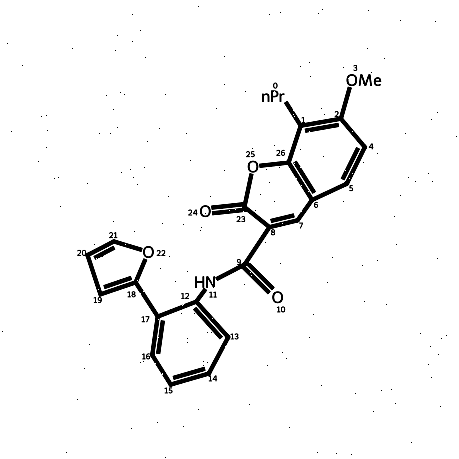 CCCc1c(OC)ccc2cc(C(=O)Nc3ccccc3-c3ccco3)c(=O)oc12